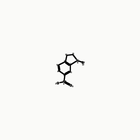 O=[N+]([O-])c1ccc2c(c1)N(Br)CC2